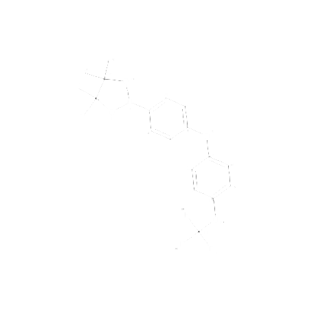 CC1(C)OB(c2ccc(Oc3ccc(OC(F)(F)F)cc3)cc2)OC1(C)C